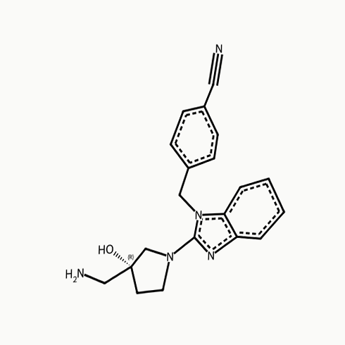 N#Cc1ccc(Cn2c(N3CC[C@@](O)(CN)C3)nc3ccccc32)cc1